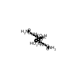 CC(=O)c1cc2c(N(CCCNCCOC(N)=O)C(=O)O)c3ccccc3c(N(CCCNCCOC(N)=O)C(=O)O)c2o1